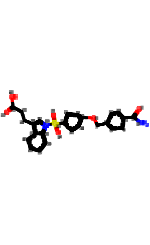 NC(=O)c1ccc(COc2ccc(S(=O)(=O)n3cc(CCC(=O)O)c4ccccc43)cc2)cc1